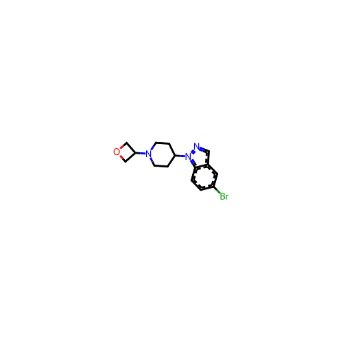 Brc1ccc2c(cnn2C2CCN(C3COC3)CC2)c1